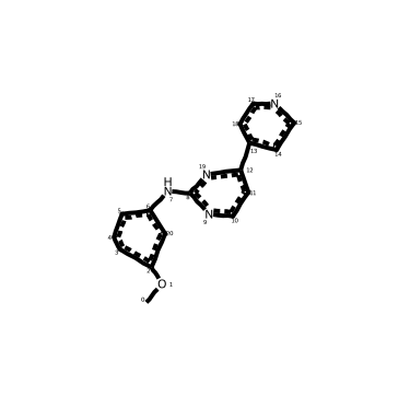 COc1cccc(Nc2nccc(-c3ccncc3)n2)c1